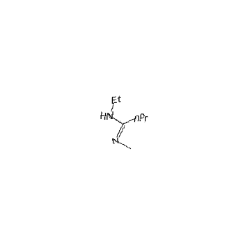 CCC/C(=N\C)NCC